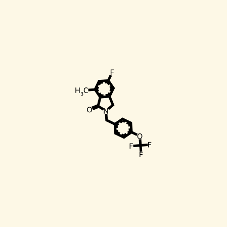 Cc1cc(F)cc2c1C(=O)N(Cc1ccc(OC(F)(F)F)cc1)C2